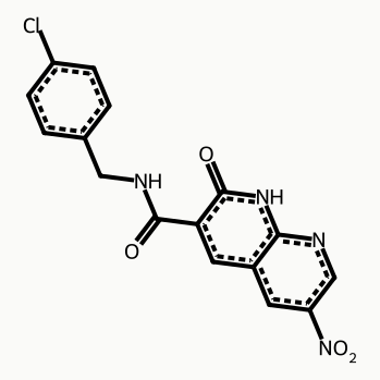 O=C(NCc1ccc(Cl)cc1)c1cc2cc([N+](=O)[O-])cnc2[nH]c1=O